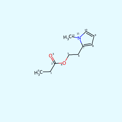 CCC(=O)OCCc1cccn1C